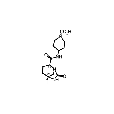 O=C(NC1CCN(C(=O)O)CC1)[C@@H]1CC[C@@H]2CN1C(=O)N2